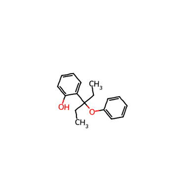 CCC(CC)(Oc1ccccc1)c1ccccc1O